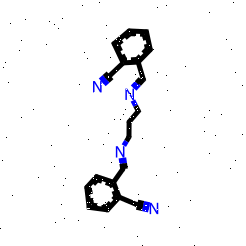 N#Cc1ccccc1C=NCCCN=Cc1ccccc1C#N